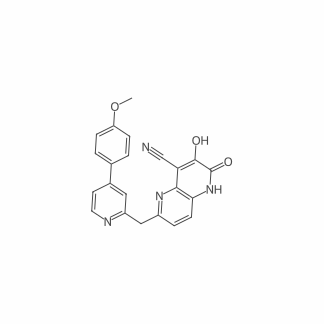 COc1ccc(-c2ccnc(Cc3ccc4[nH]c(=O)c(O)c(C#N)c4n3)c2)cc1